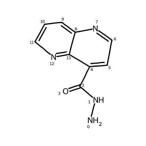 NNC(=O)c1ccnc2cccnc12